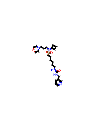 O=C(NCCCCCCS(=O)(=O)N(CCCN1CCOCC1)C1CCC1)NCc1cccnc1